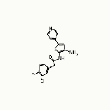 Nc1cc(-c2ccncc2)sc1NC(=O)Cc1ccc(F)c(Cl)c1